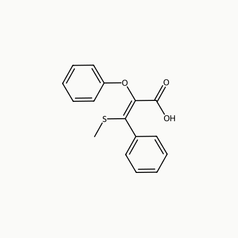 CSC(=C(Oc1ccccc1)C(=O)O)c1ccccc1